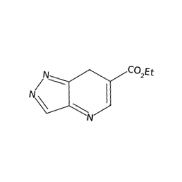 CCOC(=O)C1=CN=C2C=NN=C2C1